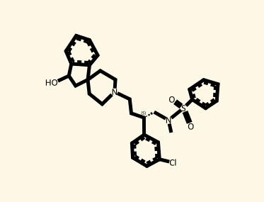 CN(C[C@@H](CCN1CCC2(CC1)CC(O)c1ccccc12)c1cccc(Cl)c1)S(=O)(=O)c1ccccc1